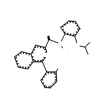 Cc1ccccc1-c1nc(C(=O)N(C)c2ccccc2OC(C)C)cc2ccccc12